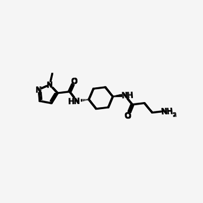 Cn1nccc1C(=O)N[C@H]1CC[C@H](NC(=O)CCN)CC1